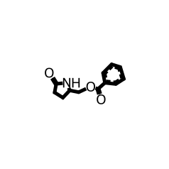 O=C1CCC(COC(=O)c2ccccc2)N1